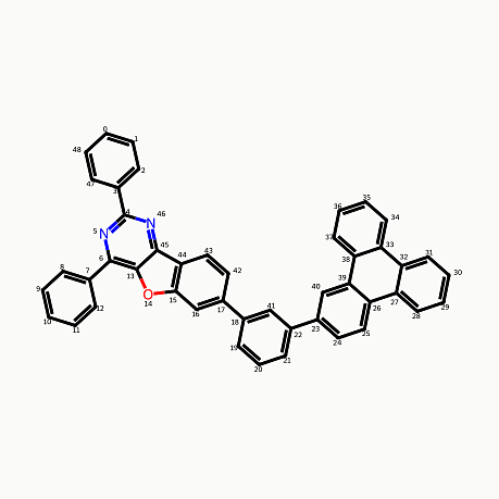 c1ccc(-c2nc(-c3ccccc3)c3oc4cc(-c5cccc(-c6ccc7c8ccccc8c8ccccc8c7c6)c5)ccc4c3n2)cc1